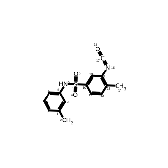 [CH2]c1cccc(NS(=O)(=O)c2ccc(C)c(N=C=O)c2)c1